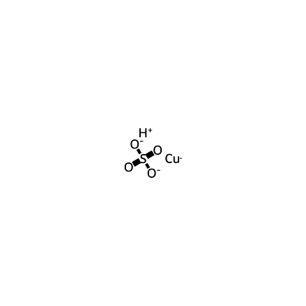 O=S(=O)([O-])[O-].[Cu].[H+]